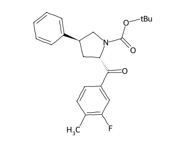 Cc1ccc(C(=O)[C@@H]2C[C@@H](c3ccccc3)CN2C(=O)OC(C)(C)C)cc1F